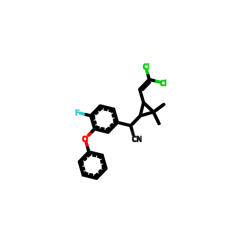 CC1(C)C(C=C(Cl)Cl)C1C(C#N)c1ccc(F)c(Oc2ccccc2)c1